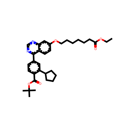 CCOC(=O)CCCCCCOc1ccc2c(-c3ccc(C(=O)OC(C)(C)C)c(C4CCCC4)c3)ncnc2c1